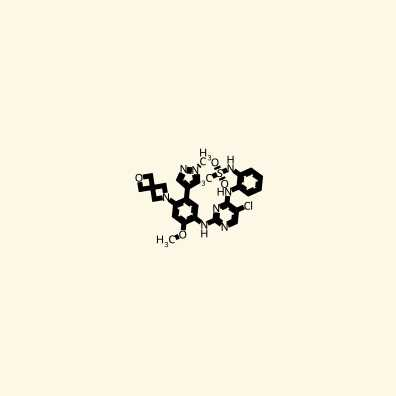 COc1cc(N2CC3(COC3)C2)c(-c2cnn(C)c2)cc1Nc1ncc(Cl)c(Nc2ccccc2NS(C)(=O)=O)n1